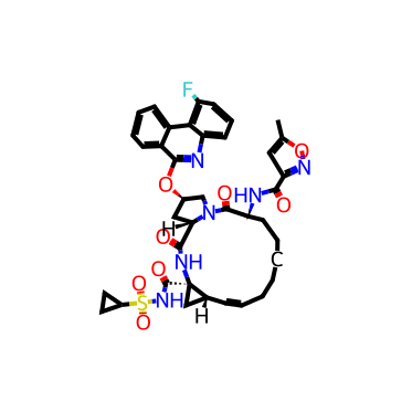 Cc1cc(C(=O)N[C@H]2CCCCC/C=C\[C@@H]3C[C@@]3(C(=O)NS(=O)(=O)C3CC3)NC(=O)[C@@H]3C[C@@H](Oc4nc5cccc(F)c5c5ccccc45)CN3C2=O)no1